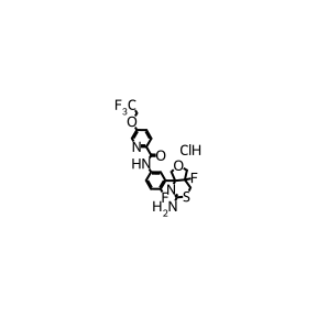 Cl.NC1=NC2(c3cc(NC(=O)c4ccc(OCC(F)(F)F)cn4)ccc3F)COCC2(F)CS1